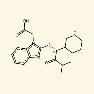 CC(C)C(=O)[C@H](Sc1nc2ccccc2n1CC(=O)O)C1CCCNC1